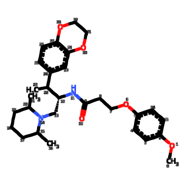 COc1ccc(OCCC(=O)N[C@H](CN2C(C)CCCC2C)C(C)c2ccc3c(c2)OCCO3)cc1